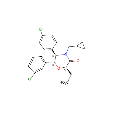 O=C(O)C[C@H]1O[C@H](c2cccc(Cl)c2)[C@@H](c2ccc(Br)cc2)N(CC2CC2)C1=O